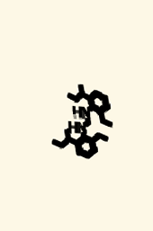 CCc1cccc(C(C)CC)c1NCNc1c(CC)cccc1C(C)CC